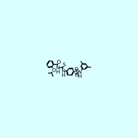 Cc1cc(C)cc(NS(=O)(=O)c2ccc(NC(=S)NC(=O)c3ccccc3OC(C)C)cc2)c1